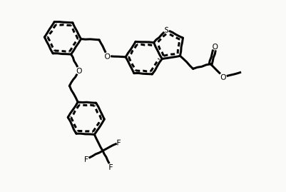 COC(=O)Cc1csc2cc(OCc3ccccc3OCc3ccc(C(F)(F)F)cc3)ccc12